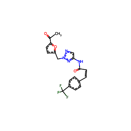 CC(=O)c1ccc(Cn2ncc(NC(=O)/C=C\c3ccc(C(F)(F)F)cc3)n2)o1